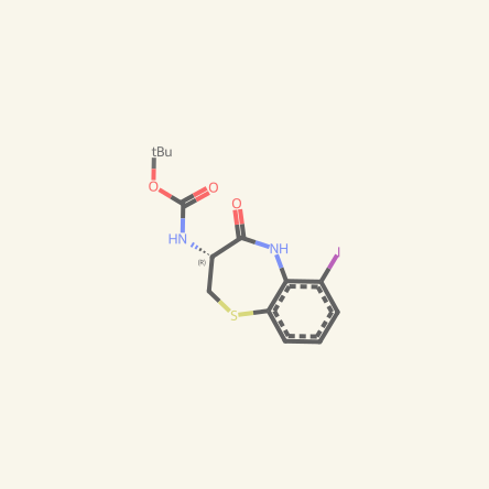 CC(C)(C)OC(=O)N[C@H]1CSc2cccc(I)c2NC1=O